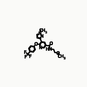 COCCNC(=O)c1cnc(Oc2ccc(C(F)(F)F)cc2)c(-c2ccn(C)n2)c1